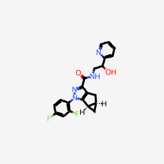 O=C(NCC(O)c1ccccn1)c1nn(-c2ccc(F)cc2F)c2c1C[C@H]1C[C@@H]21